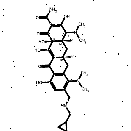 CN(C)c1c(CNCC2CC2)cc(O)c2c1C[C@H]1C[C@H]3[C@H](N(C)C)C(O)=C(C(N)=O)C(=O)[C@@]3(O)C(O)=C1C2=O